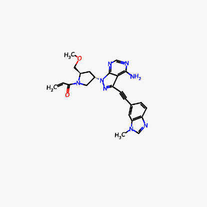 C=CC(=O)N1C[C@@H](n2nc(C#Cc3ccc4ncn(C)c4c3)c3c(N)ncnc32)C[C@@H]1COC